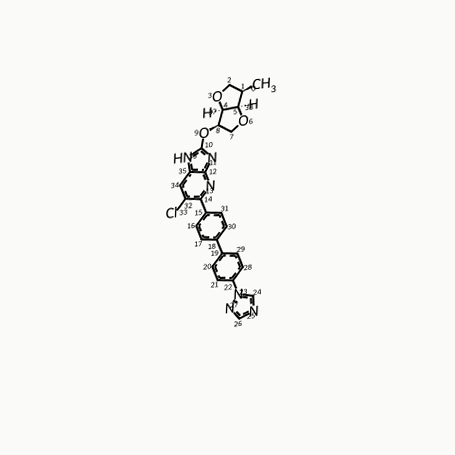 C[C@@H]1CO[C@H]2[C@@H]1OC[C@H]2Oc1nc2nc(-c3ccc(-c4ccc(-n5cncn5)cc4)cc3)c(Cl)cc2[nH]1